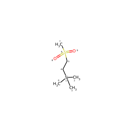 C[Si](C)(C)CCS(C)(=O)=O